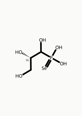 OC[C@H](O)C(O)P(O)(O)=[Se]